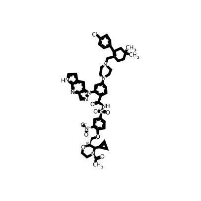 CC(=O)N1CCO[C@@H](COc2ccc(S(=O)(=O)NC(=O)c3ccc(N4CCN(CC5=C(c6ccc(Cl)cc6)CC(C)(C)CC5)CC4)cc3-n3ncc4nc5[nH]ccc5cc43)cc2[N+](=O)[O-])C1C1=CC1